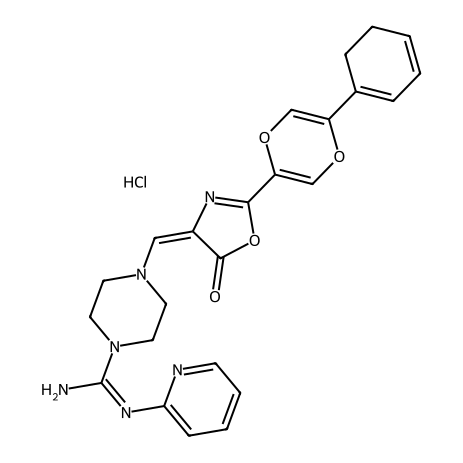 Cl.NC(=Nc1ccccn1)N1CCN(C=C2N=C(C3=COC(C4=CC=CCC4)=CO3)OC2=O)CC1